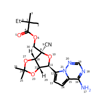 CCC(C)(C)C(=O)OC[C@@]1(C#N)O[C@@H](c2ccc3c(N)ncnn23)[C@@H]2OC(C)(C)O[C@@H]21